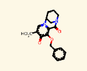 O=C(O)c1cn2c(c(OCc3ccccc3)c1=O)C(=O)N1CCCC2C1